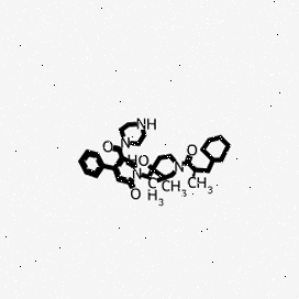 C[C@H](CC1CCCCC1)C(=O)N1CCC(O)(Cn2cc(C(=O)N3CCNCC3)c(-c3ccccc3)cc2=O)C(C)(C)C1